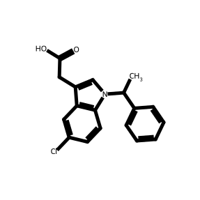 CC(c1ccccc1)n1cc(CC(=O)O)c2cc(Cl)ccc21